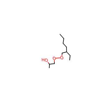 CCCCC(CC)COOCC(C)O